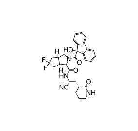 N#C[C@@H](C[C@H]1CCCNC1=O)NC(=O)[C@H]1[C@H]2CC(F)(F)C[C@H]2CN1C(=O)C1(O)c2ccccc2-c2ccccc21